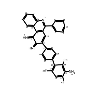 N=C1C(=N)c2c(c(-c3ccccc3)nc3ccccc23)C=C1c1ccc(-c2c(F)cc(F)c(N)c2F)cc1